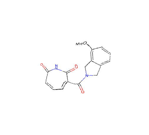 COc1cccc2c1CN(C(=O)c1cccc(=O)[nH]c1=O)C2